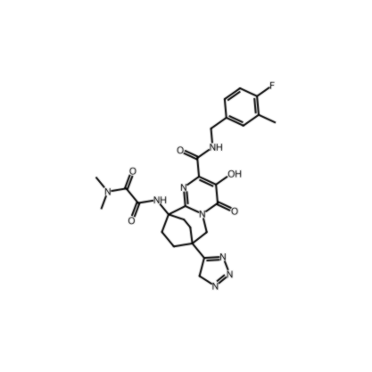 Cc1cc(CNC(=O)c2nc3n(c(=O)c2O)CC2(C4=NN=NC4)CCC3(NC(=O)C(=O)N(C)C)CC2)ccc1F